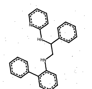 c1ccc(-c2ccccc2NCC(Nc2ccccn2)c2ccccc2)cc1